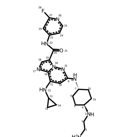 NCCN[C@H]1CC[C@H](Nc2cc(NC3CC3)c3ncc(C(=O)Nc4ccnc(F)c4)n3n2)CC1